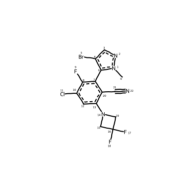 Cn1ncc(Br)c1-c1c(F)c(Cl)cc(N2CC(F)(F)C2)c1C#N